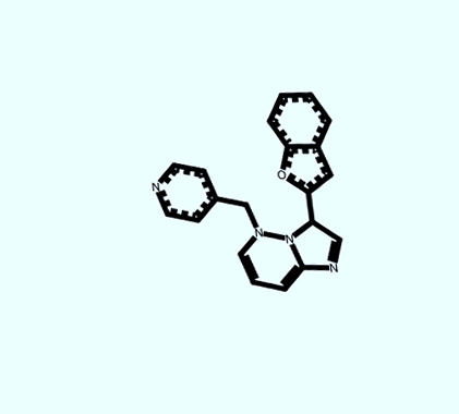 C1=CN(Cc2ccncc2)N2C(=C1)N=CC2c1cc2ccccc2o1